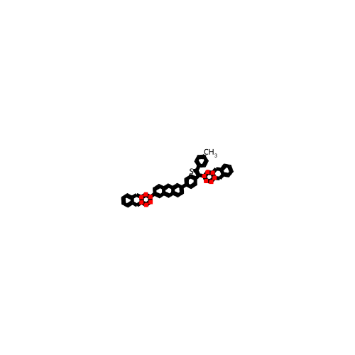 Cc1ccc(-c2sc3cc(-c4ccc5cc6cc(-c7ccc8c(c7)C7c9ccccc9C8c8ccccc87)ccc6cc5c4)ccc3c2-c2ccc3c(c2)C2c4ccccc4C3c3ccccc32)cc1